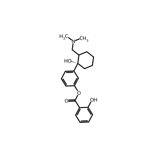 CN(C)CC1CCCC[C@@]1(O)c1cccc(OC(=O)c2ccccc2O)c1